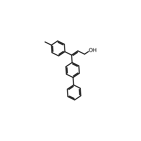 Cc1ccc(/C(=C/CO)c2ccc(-c3ccccc3)cc2)cc1